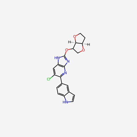 Clc1cc2[nH]c(OC3CO[C@@H]4CCO[C@H]34)nc2nc1-c1ccc2[nH]ccc2c1